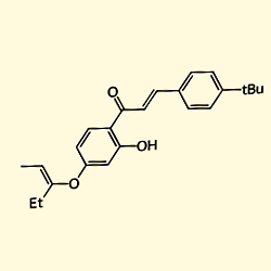 CC=C(CC)Oc1ccc(C(=O)C=Cc2ccc(C(C)(C)C)cc2)c(O)c1